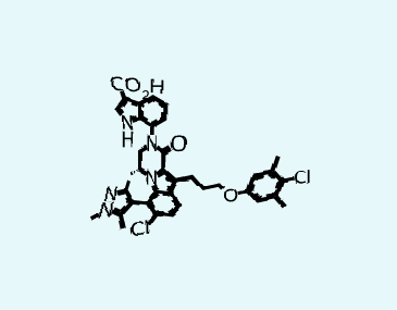 Cc1cc(OCCCc2c3n(c4c(-c5c(C)nn(C)c5C)c(Cl)ccc24)[C@H](C)CN(c2cccc4c(C(=O)O)c[nH]c24)C3=O)cc(C)c1Cl